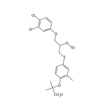 CCOC(COc1ccc(Cl)c(Cl)c1)CSc1ccc(OC(C)(C)C(=O)O)c(C)c1